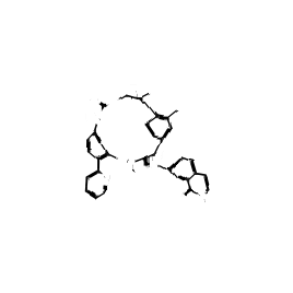 Cc1cc2ccc1[C@@H](C)COC(=O)Nc1ccc(-c3ccccn3)c(c1)CN(C)C(=O)[C@@H]2Nc1ccc2cc[nH]c(=O)c2c1